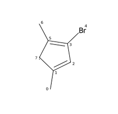 CC1=CC(Br)=C(C)[CH]1